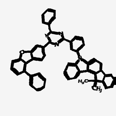 CC1(C)c2ccccc2-c2ccc3c(c21)c1ccccc1n3-c1cccc(-c2nc(-c3ccccc3)nc(-c3ccc4c(c3)oc3cccc(-c5ccccc5)c34)n2)c1